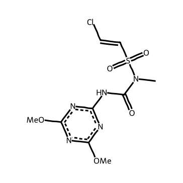 COc1nc(NC(=O)N(C)S(=O)(=O)C=CCl)nc(OC)n1